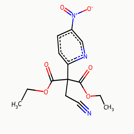 CCOC(=O)C(CC#N)(C(=O)OCC)c1ccc([N+](=O)[O-])cn1